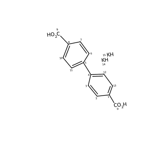 O=C(O)c1ccc(-c2ccc(C(=O)O)cc2)cc1.[KH].[KH]